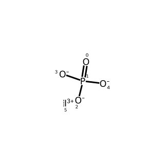 O=P([O-])([O-])[O-].[I+3]